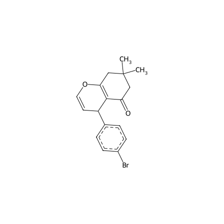 CC1(C)CC(=O)C2=C(C1)OC=CC2c1ccc(Br)cc1